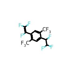 FC(F)=C(F)c1cc(C(F)(F)F)c(C(F)C(F)F)cc1C(F)(F)F